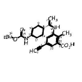 C#Cc1cc(NC(C)[C@H]2CC[C@H](NC(=O)OC(C)(C)C)CC2)c(C)c(C(=O)O)c1